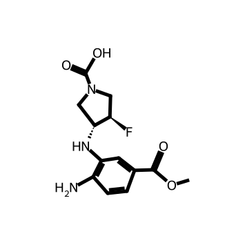 COC(=O)c1ccc(N)c(N[C@@H]2CN(C(=O)O)C[C@H]2F)c1